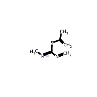 C=N/C(=N/C)SC(=C)C